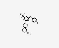 CN1CCOC2(CCN(c3nc(Oc4ccc(F)cc4)cc(C(F)(F)F)n3)CC2)C1